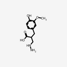 COc1cc(CC(CNN)C(=O)O)ccc1O